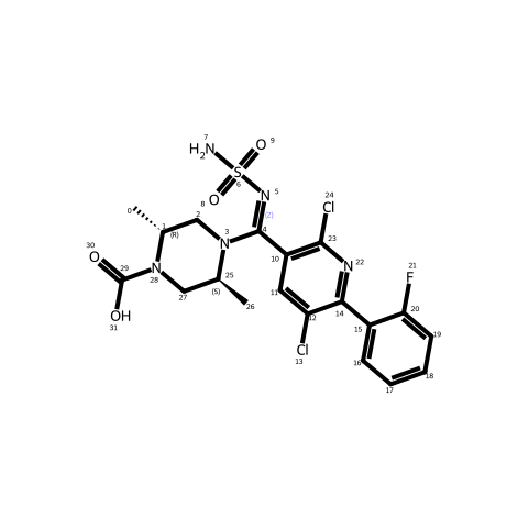 C[C@@H]1CN(/C(=N\S(N)(=O)=O)c2cc(Cl)c(-c3ccccc3F)nc2Cl)[C@@H](C)CN1C(=O)O